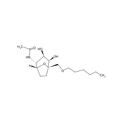 CCCCCCOC[C@@]12CC[C@@H](O1)[C@H](NC(C)=O)[C@@H](O)[C@H]2O